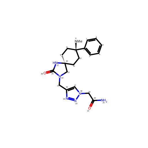 CN[C@]1(c2ccccc2)CC[C@]2(CC1)CN(Cc1cn(CC(N)=O)nn1)C(=O)N2